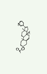 CC(=O)OC1CCC2(C)C(=CC[C@@H]3C2CC[C@]2(C)C(c4cccnc4)=CCC32)C1